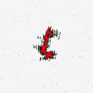 N=C(N)NCCC[C@H](NC(=O)CN)C(=O)N[C@@H](Cc1ccccc1)C(=O)NCC(=O)NCC(=O)N[C@@H](CC(N)=O)C(=O)N1CCC[C@H]1C(=O)NCC(=O)NCC(=O)N[C@@H](Cc1ccccc1)C(=O)NCC(=O)N[C@@H](CC(N)=O)C(=O)N[C@@H](CCC(N)=O)C(=O)NCC(=O)NCC(=O)N[C@@H](Cc1ccccc1)C(=O)NCC(=O)N[C@@H](CC(N)=O)C(=O)N[C@@H](CO)C(=O)N[C@@H](CCCNC(=N)N)C(=O)NCC(=O)NCC(=O)NCC(=O)O